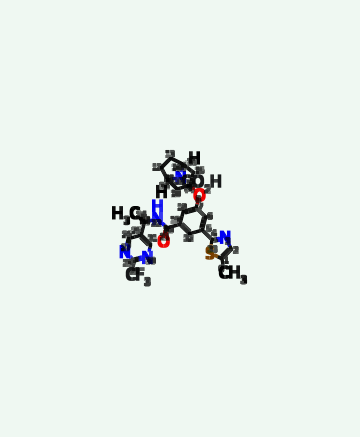 Cc1cnc(-c2cc(O[C@H]3C[C@H]4CC[C@@H](C3)N4C(=O)O)cc(C(=O)N[C@H](C)c3cnc(C(F)(F)F)nc3)c2)s1